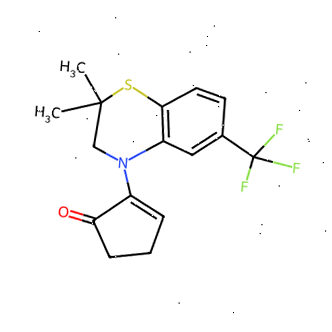 CC1(C)CN(C2=CCCC2=O)c2cc(C(F)(F)F)ccc2S1